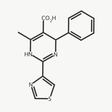 CC1=C(C(=O)O)C(c2ccccc2)N=C(c2cscn2)N1